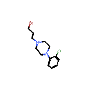 Clc1ccccc1N1CCN(CCCBr)CC1